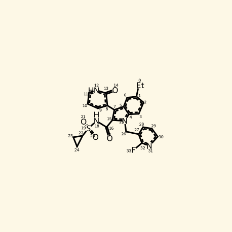 CCc1ccc2c(c1)c(-c1ccc[nH]c1=O)c(C(=O)NS(=O)(=O)C1CC1)n2Cc1cccnc1F